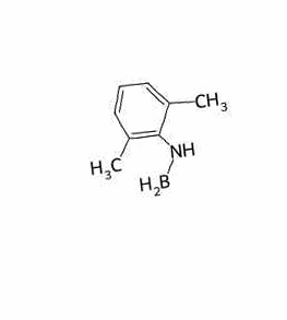 BNc1c(C)cccc1C